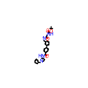 CN(Cc1cccc(-c2ccc(C(=O)NC3CCN(Cc4ccccc4)C3)cc2)c1)C(=O)CNC(=O)OC(C)(C)C